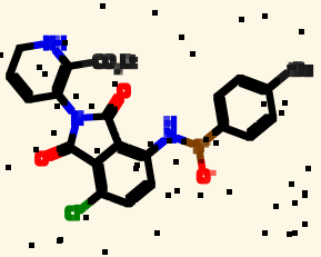 CCOC(=O)C1=C(N2C(=O)c3c(Cl)ccc(N[S+]([O-])c4ccc(C(C)(C)C)cc4)c3C2=O)C=CCN1